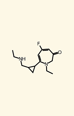 CCNCC1CC1C1=CC(F)=CC(=O)CN1CC